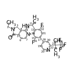 CCN1Cc2c(ccnc2N[C@@H](C)c2cc(F)c(-c3ccnc(C(C)(C)C(F)(F)F)c3)cc2F)C1=O